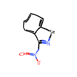 O=[N+]([O-])c1n[se]c2ccccc12